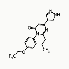 O=c1cc(C2C=NNC2)nc(CCC(F)(F)F)n1-c1ccc(OCC(F)(F)F)cc1